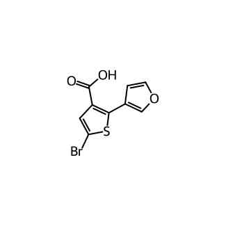 O=C(O)c1cc(Br)sc1-c1ccoc1